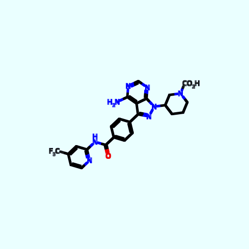 Nc1ncnc2c1c(-c1ccc(C(=O)Nc3cc(C(F)(F)F)ccn3)cc1)nn2C1CCCN(C(=O)O)C1